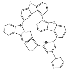 C1=CCC(C2=NC(c3cccc4oc5c(-c6cccc7sc8ccc(-n9c%10ccccc%10c%10ccccc%109)cc8c67)cccc5c34)NC(c3ccccc3)=N2)C=C1